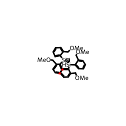 COCc1ccccc1[SiH](O[SiH](c1ccccc1COC)c1ccccc1COC)c1ccccc1COC